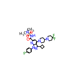 CN(C)S(=O)(=O)NC(=O)c1cc(N2CCC(N3CCC(F)(F)CC3)CC2)c2c(C3CCC3)nn(-c3ccc(F)cc3)c2n1